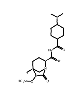 CN(C)C1CCC(C(=O)NC(=N)[C@@H]2CC[C@@H]3CN2C(=O)N3OS(=O)(=O)O)CC1